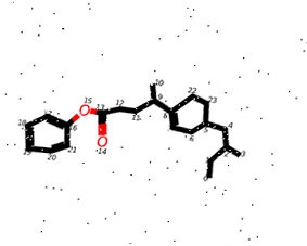 CCC(C)CC1CC=C(C(C)CCC(=O)Oc2ccccc2)CC1